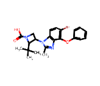 Cc1nc2c(Oc3ccccc3)c(Br)ccc2n1C1CN(C(=O)O)C1C(C)(C)C